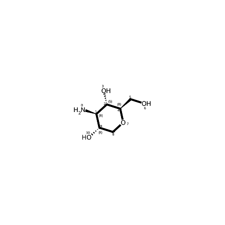 N[C@H]1[C@H](O)[C@@H](CO)O[CH][C@@H]1O